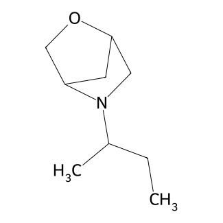 CCC(C)N1CC2CC1CO2